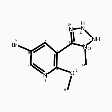 COc1ncc(Br)cc1C1=NNNN1C